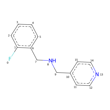 Fc1ccccc1CNCc1ccncc1